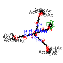 CC(=O)NC1C(OCCCCCC(=O)NCCCNC(=O)CC(CC(=O)NCCCNC(=O)CCCCCOC2OC(COC(C)=O)C(OC(C)=O)C(OC(C)=O)C2NC(C)=O)C(CCCCNC(=O)CCCC(=O)Oc2c(F)c(F)c(F)c(F)c2F)C(=O)NCCCNC(=O)CCCCCOC2OC(COC(C)=O)C(OC(C)=O)C(OC(C)=O)C2NC(C)=O)OC(COC(C)=O)C(OC(C)=O)C1OC(C)=O